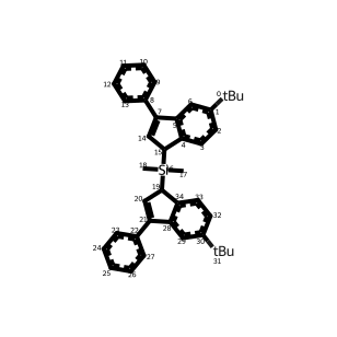 CC(C)(C)c1ccc2c(c1)C(c1ccccc1)=CC2[Si](C)(C)C1C=C(c2ccccc2)c2cc(C(C)(C)C)ccc21